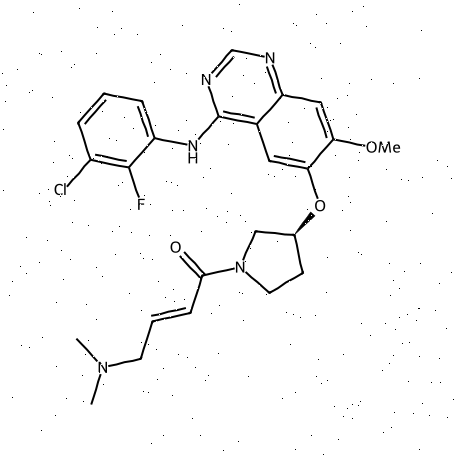 COc1cc2ncnc(Nc3cccc(Cl)c3F)c2cc1O[C@H]1CCN(C(=O)/C=C/CN(C)C)C1